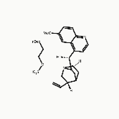 C=C[C@@H]1CN2CCC1C[C@@H]2[C@H](O)c1ccnc2ccc(OC)cc12.CCCCCCCCCCCCOS(=O)(=O)O